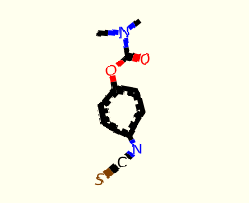 CN(C)C(=O)Oc1ccc(N=C=S)cc1